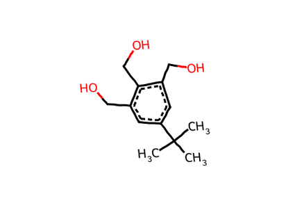 CC(C)(C)c1cc(CO)c(CO)c(CO)c1